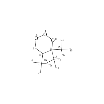 CC(C)(C)C1COOOC1(C(C)(C)C)C(C)(C)C